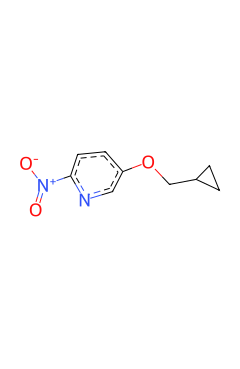 O=[N+]([O-])c1ccc(OCC2CC2)cn1